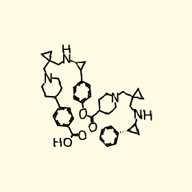 O=C(O)c1ccc(C2CCN(CC3(CNC4CC4c4ccc(OC(=O)C5CCN(CC6(CN[C@H]7C[C@@H]7c7ccccc7)CC6)CC5)cc4)CC3)CC2)cc1